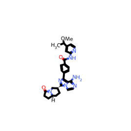 COC(C)c1ccnc(NC(=O)c2ccc(-c3nc([C@@H]4CC[C@H]5CCC(=O)N5C4)n4ccnc(N)c34)cc2)c1